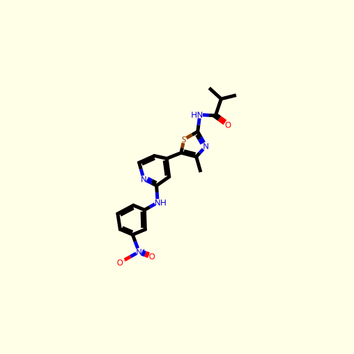 Cc1nc(NC(=O)C(C)C)sc1-c1ccnc(Nc2cccc([N+](=O)[O-])c2)c1